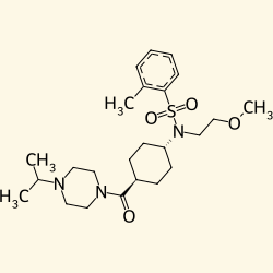 COCCN([C@H]1CC[C@H](C(=O)N2CCN(C(C)C)CC2)CC1)S(=O)(=O)c1ccccc1C